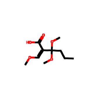 CCCC(OC)(OC)C(=COC)C(=O)O